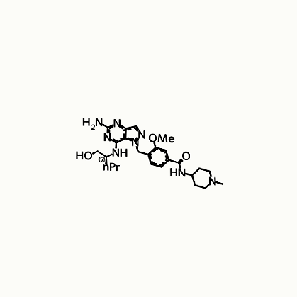 CCC[C@@H](CO)Nc1nc(N)nc2cnn(Cc3ccc(C(=O)NC4CCN(C)CC4)cc3OC)c12